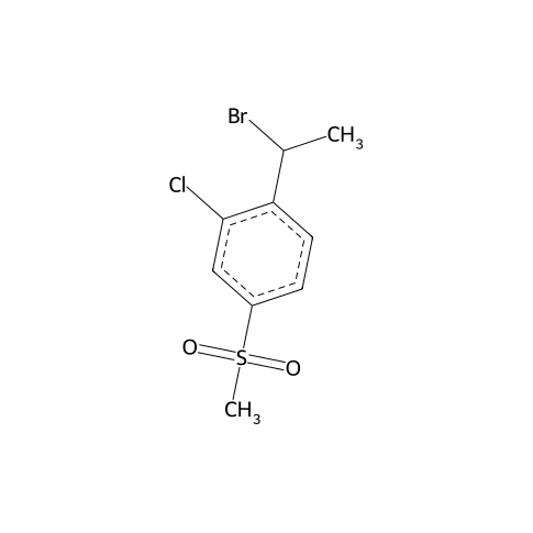 CC(Br)c1ccc(S(C)(=O)=O)cc1Cl